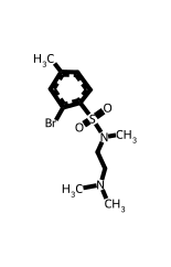 Cc1ccc(S(=O)(=O)N(C)CCN(C)C)c(Br)c1